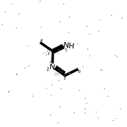 C/C=N\C(C)=N